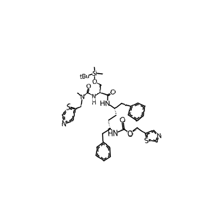 CN(Cc1cncs1)C(=O)N[C@@H](CO[Si](C)(C)C(C)(C)C)C(=O)N[C@@H](CC[C@@H](Cc1ccccc1)NC(=O)OCc1cncs1)Cc1ccccc1